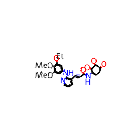 CCOc1cc(Nc2ncccc2/C=C/C(=O)NC2CCC(=O)C(=O)C2=O)cc(OC)c1OC